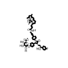 COC(=O)[C@H]1O[C@@H](Oc2ccc(C3[C@@H](CC[C@H](O)c4ccc(F)cc4)C(=O)N3c3ccc(C#CCNC(=O)CCC4=[N+]5C(=Cc6c(C)cc(C)n6[B-]5(F)F)C=C4)cc3)cc2)[C@H](O)[C@@H](O)[C@@H]1O